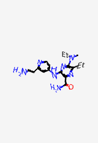 CCc1nc(C(N)=O)c(Nc2ccnc(CCN)c2)nc1N(C)CC